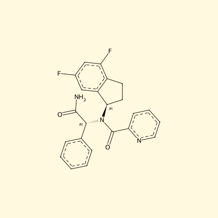 NC(=O)[C@@H](c1ccccc1)N(C(=O)c1ccccn1)[C@@H]1CCc2c(F)cc(F)cc21